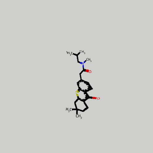 CC(C)CN(C)C(=O)Cc1ccc2c(=O)c3c(sc2c1)CC(C)(C)CC3